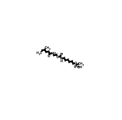 CSC(C)CCC(=O)NCCOC(=O)NCCCCCCOP(C)(=O)O